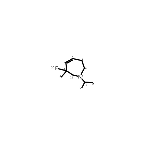 CC(C)N1CCC=CC(C)(F)C1